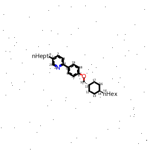 CCCCCCCc1ccc(-c2ccc(OC[C@H]3CC[C@H](CCCCCC)CC3)cc2)nc1